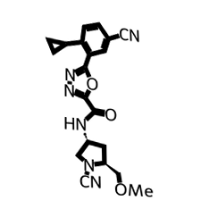 COC[C@@H]1C[C@@H](NC(=O)c2nnc(-c3cc(C#N)ccc3C3CC3)o2)CN1C#N